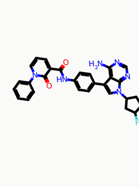 Nc1ncnc2c1c(-c1ccc(NC(=O)c3cccn(-c4ccccc4)c3=O)cc1)cn2C1CCC(F)C1